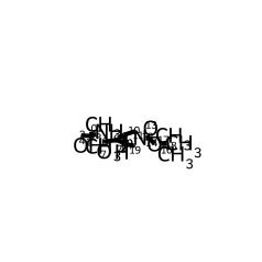 CC(C)(CO)NC(=O)C1C2CN(C(=O)OC(C)(C)C)C[C@@H]21